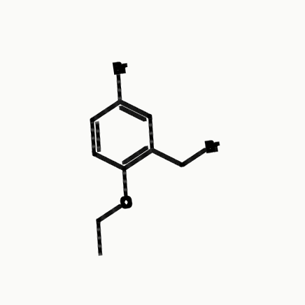 CCOc1ccc(Br)cc1CBr